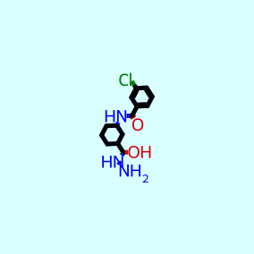 NNC(O)C1CCCC(NC(=O)c2cccc(Cl)c2)C1